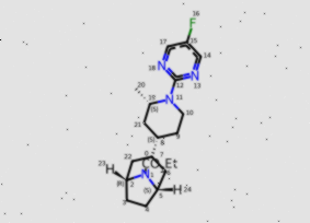 CCOC(=O)N1[C@@H]2CC[C@H]1CC([C@H]1CCN(c3ncc(F)cn3)[C@@H](C)C1)C2